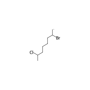 [CH2]C(Br)CCCCC(C)Cl